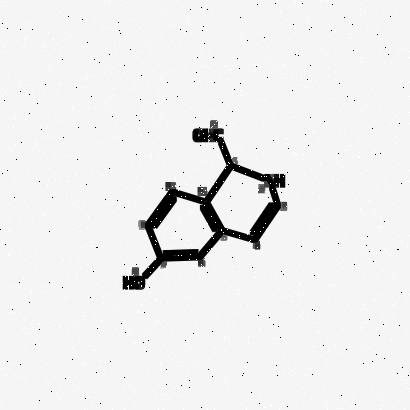 O=CC1NC=Cc2cc(O)ccc21